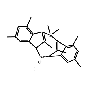 CC1=C2c3c(C)cc(C)cc3[CH]1[Zr+2][CH]1C(C)=C(c3c(C)cc(C)cc31)[Si]2(C)C.[Cl-].[Cl-]